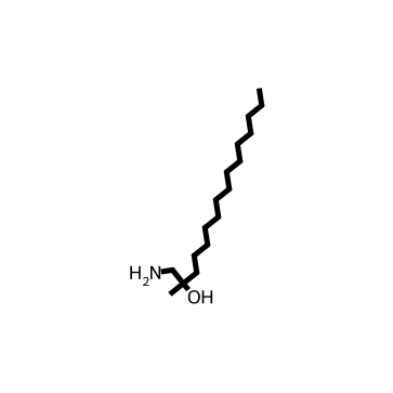 CCCCCCCCCCCCCCC(C)(O)CN